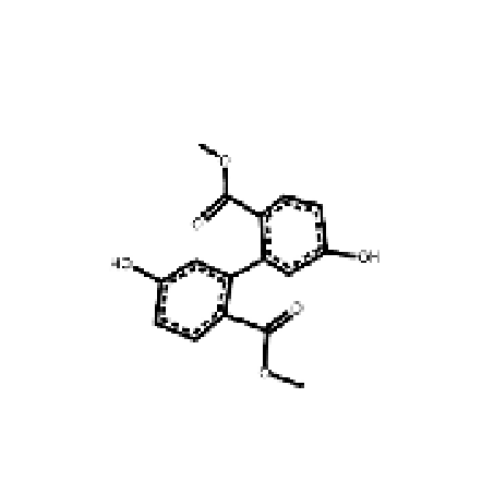 COC(=O)c1ccc(O)cc1-c1cc(O)ccc1C(=O)OC